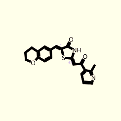 Cc1ncccc1C(=O)/C=c1\[nH]c(=O)/c(=C/c2ccc3c(c2)CCCO3)s1